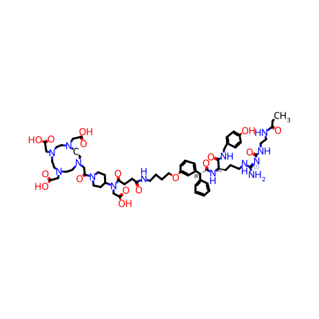 CCC(=O)NCCNC(=O)/N=C(/N)NCCC[C@@H](NC(=O)[C@H](c1ccccc1)c1cccc(OCCCCNC(=O)CCC(=O)N(CC(=O)O)C2CCN(C(=O)CN3CCN(CC(=O)O)CCN(CC(=O)O)CCN(CC(=O)O)CC3)CC2)c1)C(=O)NCc1ccc(O)cc1